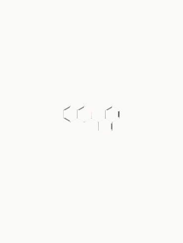 [CH]1OC=C2C=CC=CC2C1C1CC2C=CC=CC2=CO1